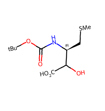 CSC[C@H](NC(=O)OC(C)(C)C)C(O)C(=O)O